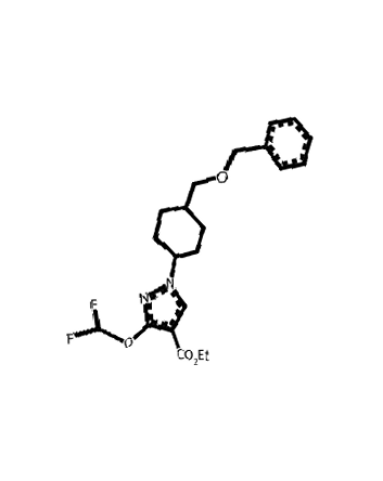 CCOC(=O)c1cn(C2CCC(COCc3ccccc3)CC2)nc1OC(F)F